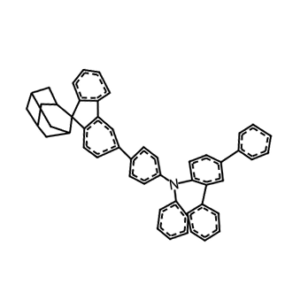 c1ccc(-c2ccc(N(c3ccccc3)c3ccc(-c4ccc5c(c4)-c4ccccc4C54C5CC6CC(C5)CC4C6)cc3)c(-c3ccccc3)c2)cc1